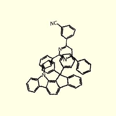 N#Cc1cccc(C2=NC(c3cccc(-n4c5ccccc5c5ccc6c(c54)C(c4ccccc4)(c4ccccc4)c4ccccc4-6)c3)=NC(c3ccccc3)C2)c1